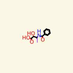 O=C(NC(I)[C@@H](O)C(=O)O)c1ccccc1